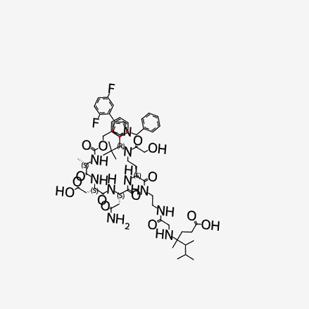 CC(C)C(C)C(C)(CCC(=O)O)NCC(=O)NCCNC(=O)[C@H](CCN(C(=O)CO)[C@@H](c1cc(-c2cc(F)ccc2F)cn1Cc1ccccc1)C(C)(C)C)NC(=O)[C@H](CC(N)=O)NC(=O)[C@H](CC(=O)O)NC(=O)[C@H](C)NC(=O)OCc1ccccc1